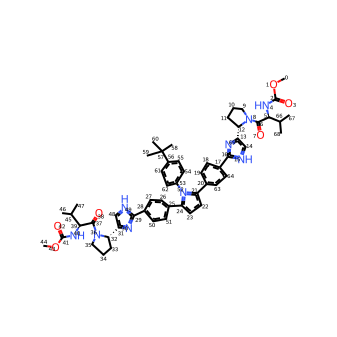 COC(=O)N[C@H](C(=O)N1CCC[C@H]1c1c[nH]c(-c2ccc(-c3ccc(-c4ccc(-c5nc([C@@H]6CCCN6C(=O)[C@@H](NC(=O)OC)C(C)C)c[nH]5)cc4)n3-c3ccc(C(C)(C)C)cc3)cc2)n1)C(C)C